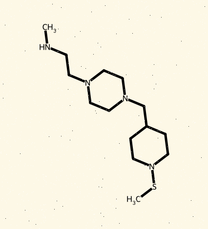 CNCCN1CCN(CC2CCN(SC)CC2)CC1